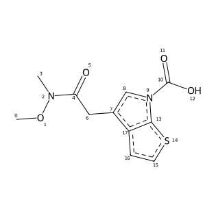 CON(C)C(=O)Cc1cn(C(=O)O)c2sccc12